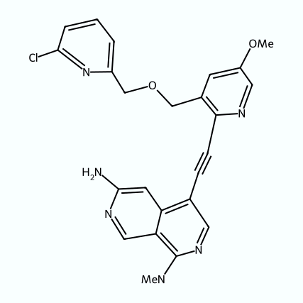 CNc1ncc(C#Cc2ncc(OC)cc2COCc2cccc(Cl)n2)c2cc(N)ncc12